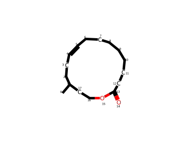 CC1CCC=CCCCCCCCC(=O)OCC1